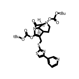 CC(C)(C)OC(=O)OC1=C(CSc2nc(-c3cccnc3)cs2)C2CCN(OC(=O)OC(C)(C)C)[C@@H]3C(=O)N1[C@H]23